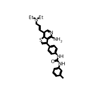 CCN(CC)CC=Cc1cnc(N)c2c(-c3ccc(NC(=O)Nc4cccc(C)c4)cc3)csc12